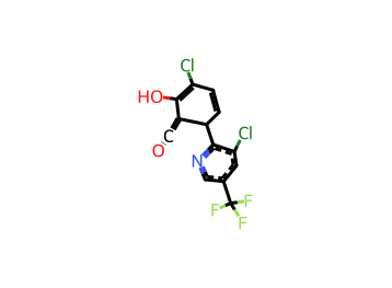 O=C=C1C(O)=C(Cl)C=CC1c1ncc(C(F)(F)F)cc1Cl